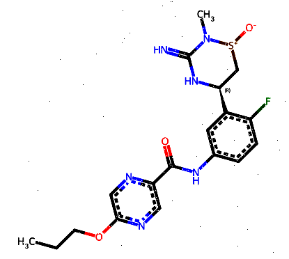 CCCOc1cnc(C(=O)Nc2ccc(F)c([C@@H]3C[S+]([O-])N(C)C(=N)N3)c2)cn1